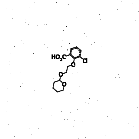 O=C(O)c1cccc(Cl)c1OCCOC1CCCCO1